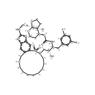 CC(C)Nc1nc2cc3c(cc2o1)S(=O)(=O)N(C[C@@H](O)[C@H](Cc1cc(F)cc(F)c1)NC(=O)O[C@H]1CCO[C@H]2OCC[C@H]21)CCCCCCCCOC3